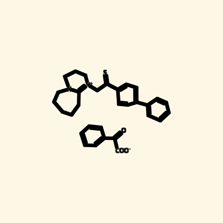 O=C([O-])C(=O)c1ccccc1.S=C(C[N+]1=C2CCCCCN2CCC1)c1ccc(-c2ccccc2)cc1